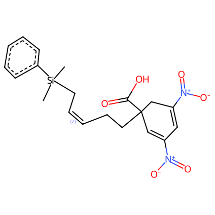 C[Si](C)(C/C=C\CCC1(C(=O)O)C=C([N+](=O)[O-])C=C([N+](=O)[O-])C1)c1ccccc1